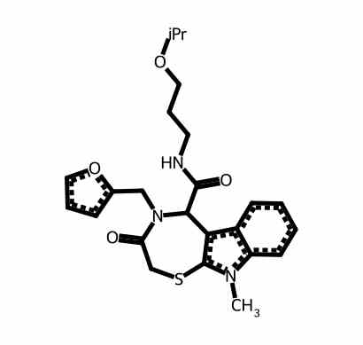 CC(C)OCCCNC(=O)C1c2c(n(C)c3ccccc23)SCC(=O)N1Cc1ccco1